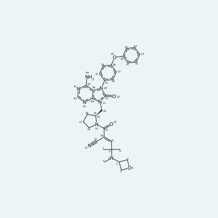 CN(C1COC1)C(C)(C)C=C(C#N)C(=O)N1CCC[C@H]1Cn1c(=O)n(-c2ccc(Oc3ccccc3)cc2)c2c(N)ncnc21